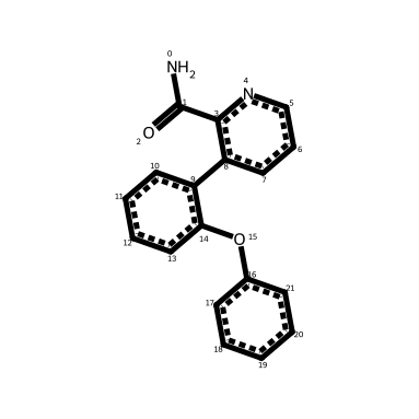 NC(=O)c1ncccc1-c1ccccc1Oc1ccccc1